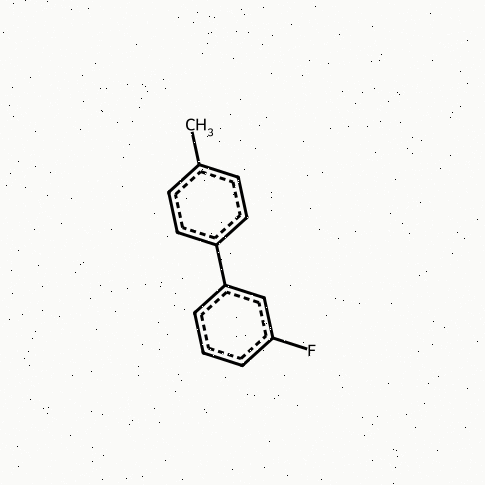 Cc1ccc(-c2cccc(F)c2)cc1